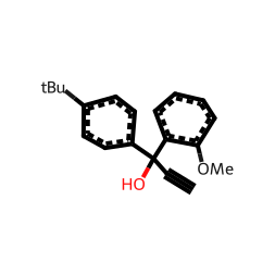 C#CC(O)(c1ccc(C(C)(C)C)cc1)c1ccccc1OC